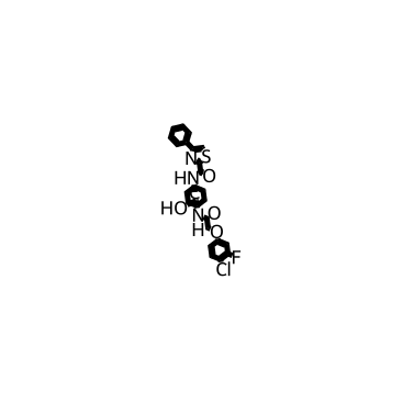 O=C(COc1ccc(Cl)c(F)c1)NC12CCC(NC(=O)c3nc(-c4ccccc4)cs3)(CC1)CC2O